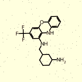 NC1CCCC(CNc2cc(C(F)(F)F)cc3c2Nc2ccccc2O3)C1